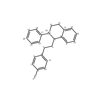 Fc1ccc(CCC2c3ccccc3CCN2c2ccccc2)cc1